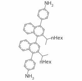 CCCCCCC(C)c1cc(-c2c(C(C)CCCCCC)cc(-c3ccc(N)cc3)c3ccccc23)c2ccccc2c1-c1ccc(N)cc1